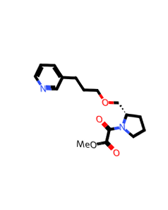 COC(=O)C(=O)N1CCC[C@H]1COCCCc1cccnc1